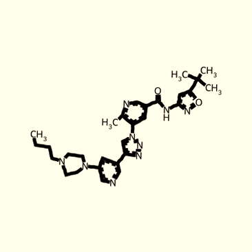 CCCCN1CCN(c2cncc(-c3cn(-c4cc(C(=O)Nc5cc(C(C)(C)C)on5)cnc4C)nn3)c2)CC1